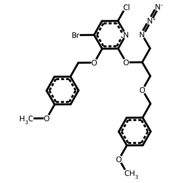 COc1ccc(COCC(CN=[N+]=[N-])Oc2nc(Cl)cc(Br)c2OCc2ccc(OC)cc2)cc1